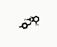 CC(C)c1nc2c(n1Cc1ccc(I)cc1)C(O)CCC2